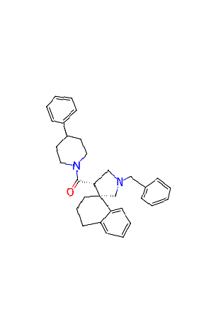 O=C([C@@H]1CN(Cc2ccccc2)C[C@]12CCCc1ccccc12)N1CCC(c2ccccc2)CC1